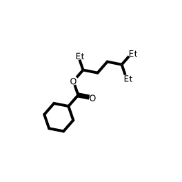 CCC(CC)CCC(CC)OC(=O)C1CCCCC1